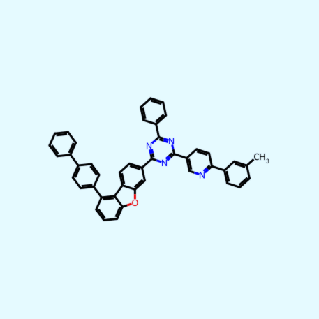 Cc1cccc(-c2ccc(-c3nc(-c4ccccc4)nc(-c4ccc5c(c4)oc4cccc(-c6ccc(-c7ccccc7)cc6)c45)n3)cn2)c1